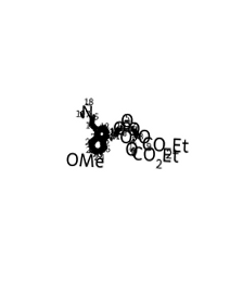 CCOC(=O)OCOP(=O)(OCOC(=O)OCC)OCn1cc(CCN(C)C)c2ccc(OC)cc21